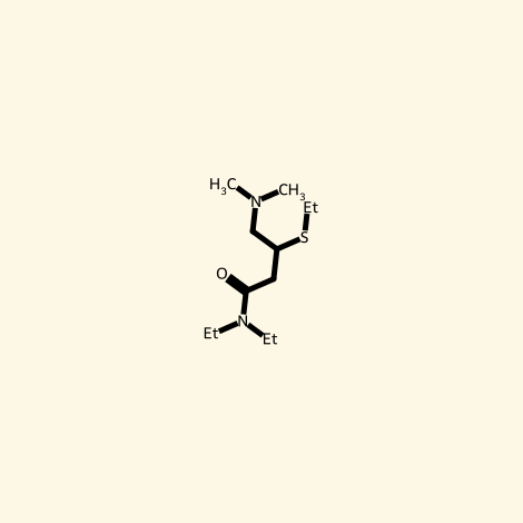 CCSC(CC(=O)N(CC)CC)CN(C)C